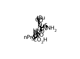 CCCSC1(C(=O)O)CS[C@@H]2C(NC(=O)C(=NOCC(=O)OC(C)(C)C)c3csc(N)n3)C(=O)N2C1